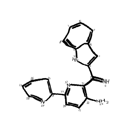 N=C(c1cc2ccccc2[nH]1)c1nc(-c2ccccn2)ccc1N